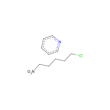 O=[N+]([O-])CCCCCCl.c1ccncc1